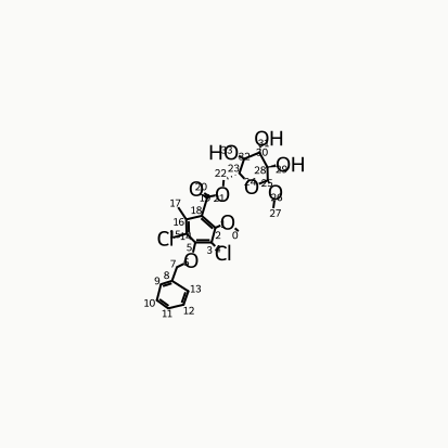 COc1c(Cl)c(OCc2ccccc2)c(Cl)c(C)c1C(=O)OC[C@H]1O[C@@H](OC)[C@H](O)[C@@H](O)[C@@H]1O